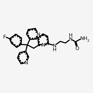 NC(=O)NCCNc1cccc(CC(c2ccc(F)cc2)(c2cccnc2)c2cccnc2)n1